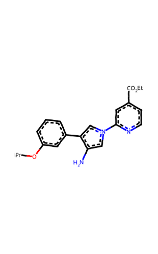 CCOC(=O)c1ccnc(-n2cc(N)c(-c3cccc(OC(C)C)c3)c2)c1